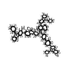 CC1(C)c2cc(-c3ccc4c(c3)c3ccccc3n4-c3ccccc3)ccc2-c2ccc(N(c3ccc(-c4ccc(-c5ccc6c7ccccc7n(-c7ccccc7)c6c5)cc4)cc3)c3ccc(-c4ccc5c6ccccc6n(-c6ccccc6)c5c4)c4ccccc34)cc21